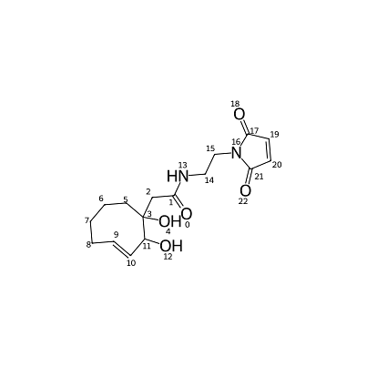 O=C(CC1(O)CCCC/C=C/C1O)NCCN1C(=O)C=CC1=O